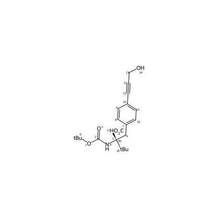 CC(C)(C)OC(=O)N[C@@](Cc1ccc(C#CCO)cc1)(C(=O)O)C(C)(C)C